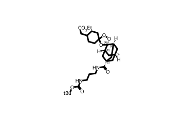 CCOC(=O)CC1CCC2(CC1)OO[C@@]1(O2)[C@@H]2C[C@@H]3C[C@H]1C[C@@](C(=O)NCCCNC(=O)OC(C)(C)C)(C3)C2